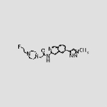 Cn1cc(-c2ccc3cnc(NC(=O)CN4CCN(CCF)CC4)cc3c2)nn1